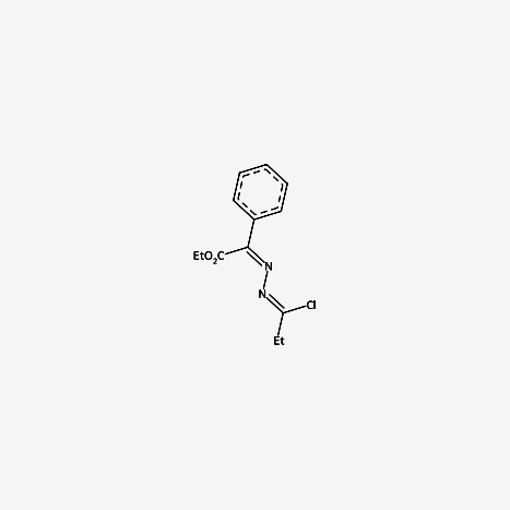 CCOC(=O)C(=NN=C(Cl)CC)c1ccccc1